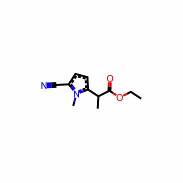 CCOC(=O)C(C)c1ccc(C#N)n1C